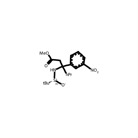 CCCC(CC(=O)OC)(N[S@+]([O-])C(C)(C)C)c1cccc([N+](=O)[O-])c1